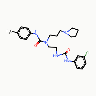 O=C(NCCN(CCCN1CCCC1)C(=O)Nc1ccc(C(F)(F)F)cc1)Nc1cccc(Cl)c1